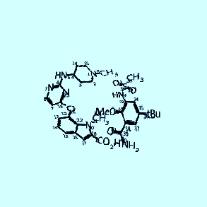 CN1CCC(Nc2nccc(Oc3cccc4cc(C(=O)O)n(C)c34)n2)CC1.COc1c(NS(C)(=O)=O)cc(C(C)(C)C)cc1C(N)=O